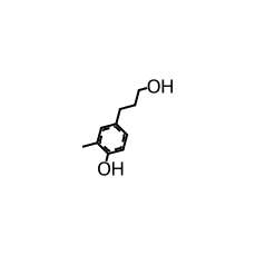 Cc1cc(CCCO)ccc1O